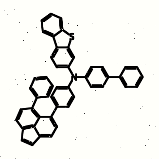 C1=Cc2ccc(-c3ccc(N(c4ccc(-c5ccccc5)cc4)c4ccc5c(c4)sc4ccccc45)cc3)c3c(-c4ccccc4)ccc1c23